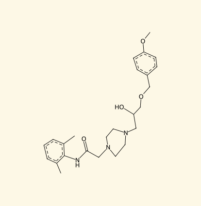 COc1ccc(COCC(O)CN2CCN(CC(=O)Nc3c(C)cccc3C)CC2)cc1